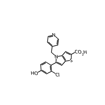 O=C(O)c1cc2c(cc(-c3ccc(O)cc3Cl)n2Cc2ccncc2)s1